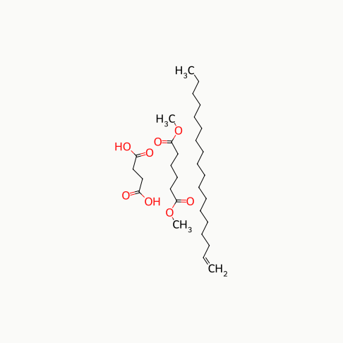 C=CCCCCCCCCCCCCCCCC.COC(=O)CCCCC(=O)OC.O=C(O)CCC(=O)O